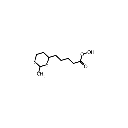 CC1SCCC(CCCCC(=O)OO)S1